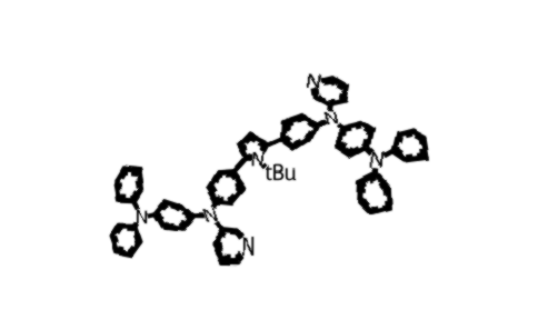 CC(C)(C)n1c(-c2ccc(N(c3ccc(N(c4ccccc4)c4ccccc4)cc3)c3cccnc3)cc2)ccc1-c1ccc(N(c2ccc(N(c3ccccc3)c3ccccc3)cc2)c2cccnc2)cc1